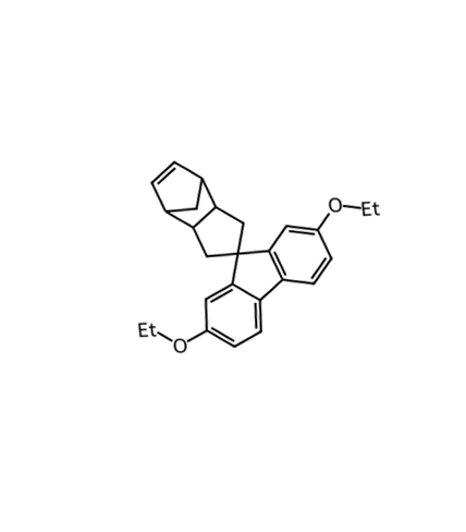 CCOc1ccc2c(c1)C1(CC3C4C=CC(C4)C3C1)c1cc(OCC)ccc1-2